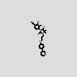 Cc1c(N2C(=O)C(C)(C)N(CCCOc3ccc(-c4cccnc4)cc3)C2=S)ccc(C#N)c1Cl